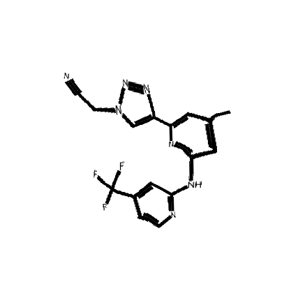 Cc1cc(Nc2cc(C(F)(F)F)ccn2)nc(-c2cn(CC#N)nn2)c1